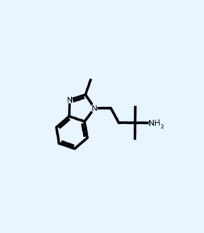 Cc1nc2ccccc2n1CCC(C)(C)N